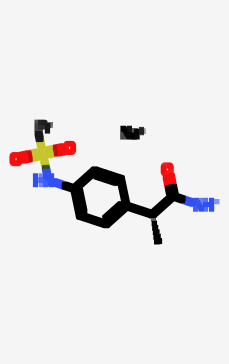 CC(C)S(=O)(=O)Nc1ccc([C@@H](C)C([NH-])=O)cc1.[Na+]